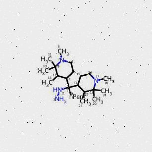 CCCCCC(NN)(C1CCN(C)C(C)(C)C1C)C1CCN(C)C(C)(C)C1C